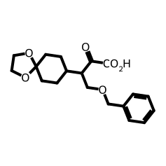 O=C(O)C(=O)C(COCc1ccccc1)C1CCC2(CC1)OCCO2